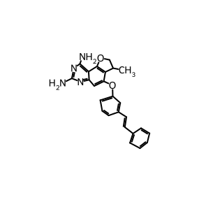 CC1COc2c1c(Oc1cccc(C=Cc3ccccc3)c1)cc1nc(N)nc(N)c21